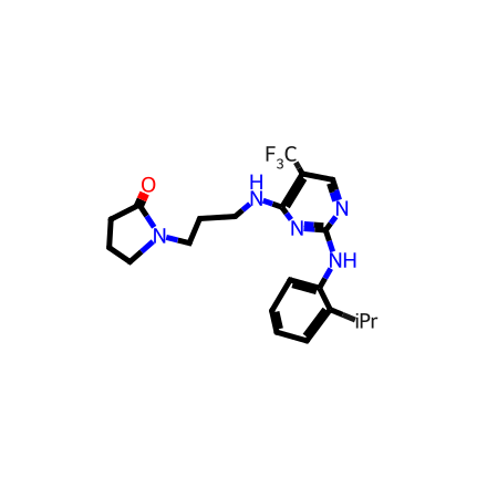 CC(C)c1ccccc1Nc1ncc(C(F)(F)F)c(NCCCN2CCCC2=O)n1